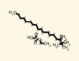 CCCCCCCCCCCCCCCC(N)C(C)(C)C.CCOS(=O)(=O)O